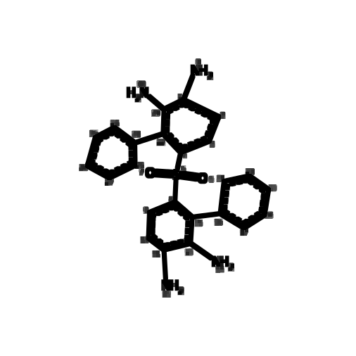 Nc1ccc(S(=O)(=O)c2ccc(N)c(N)c2-c2ccccc2)c(-c2ccccc2)c1N